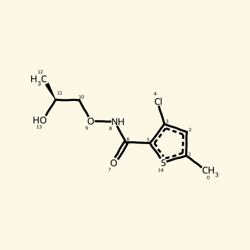 Cc1cc(Cl)c(C(=O)NOC[C@H](C)O)s1